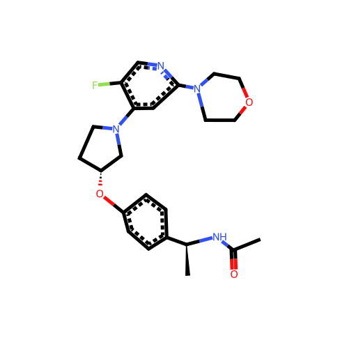 CC(=O)N[C@@H](C)c1ccc(O[C@@H]2CCN(c3cc(N4CCOCC4)ncc3F)C2)cc1